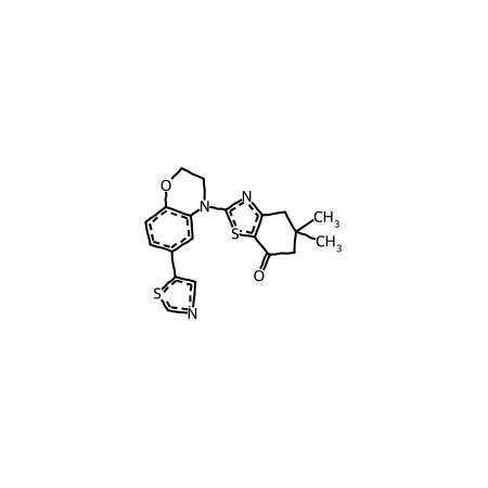 CC1(C)CC(=O)c2sc(N3CCOc4ccc(-c5cncs5)cc43)nc2C1